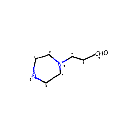 O=CCCN1CC[N]CC1